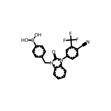 N#Cc1ccc(-n2c(=O)n(Cc3ccc(B(O)O)cc3)c3ccccc32)cc1C(F)(F)F